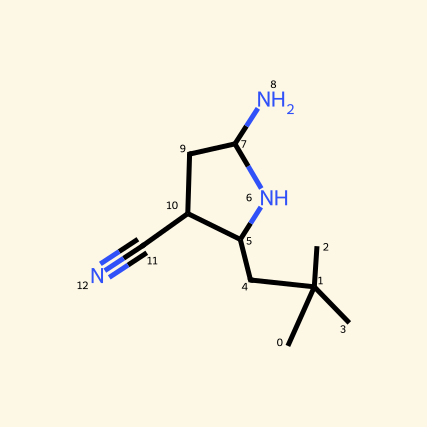 CC(C)(C)CC1NC(N)CC1C#N